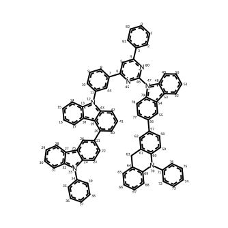 c1ccc(-c2cc(-c3cccc(-n4c5ccccc5c5c(-c6ccc7c(c6)c6ccccc6n7-c6ccccc6)cccc54)c3)nc(-n3c4ccccc4c4cc(-c5ccc6c(c5)Cc5ccccc5N6c5ccccc5)ccc43)n2)cc1